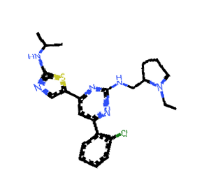 CCN1CCCC1CNc1nc(-c2cnc(NC(C)C)s2)cc(-c2ccccc2Cl)n1